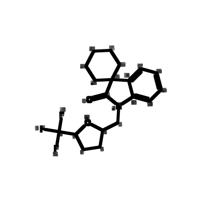 O=C1N(CC2CCC(C(F)(F)F)O2)c2ccccc2C12CCCCC2